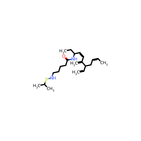 C=CC(C/C=C\C)C(=C)/C=C\C(CC)NC(=O)CCCCNSC(C)C